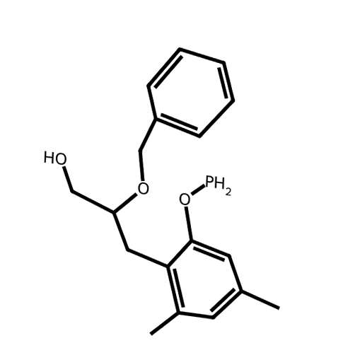 Cc1cc(C)c(CC(CO)OCc2ccccc2)c(OP)c1